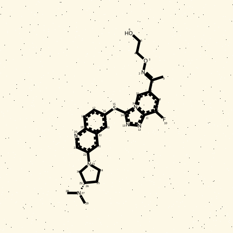 CC(=NOCCO)c1cc(F)c2nnc(Sc3ccc4ncc(N5CC[C@H](N(C)C)C5)cc4c3)n2c1